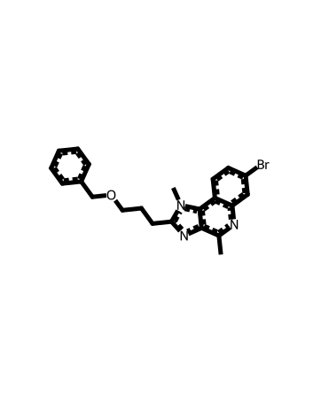 Cc1nc2cc(Br)ccc2c2c1nc(CCCOCc1ccccc1)n2C